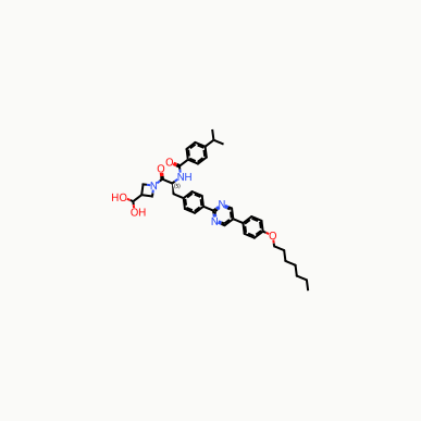 CCCCCCCOc1ccc(-c2cnc(-c3ccc(C[C@H](NC(=O)c4ccc(C(C)C)cc4)C(=O)N4CC(C(O)O)C4)cc3)nc2)cc1